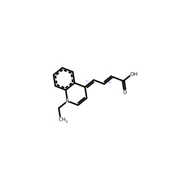 CCN1C=C/C(=C\C=C\C(=O)O)c2ccccc21